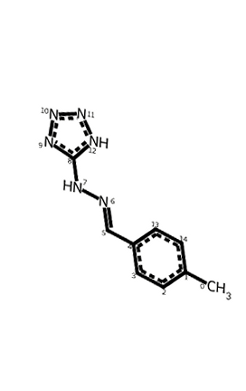 Cc1ccc(/C=N/Nc2nnn[nH]2)cc1